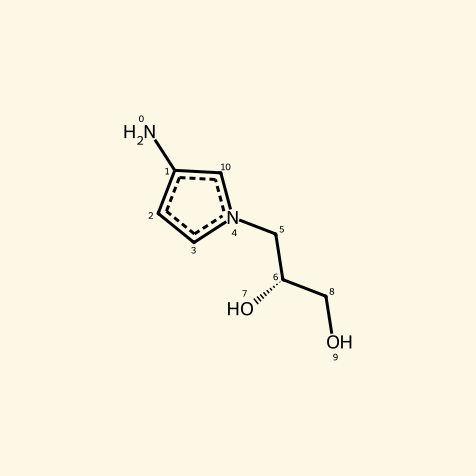 Nc1ccn(C[C@@H](O)CO)c1